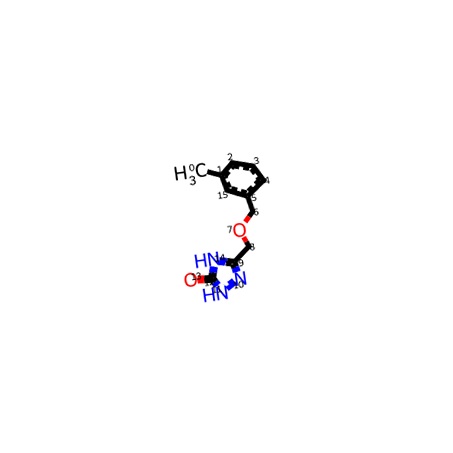 Cc1cccc(COCc2n[nH]c(=O)[nH]2)c1